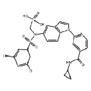 O=C(NC1CC1)c1ccnc(-n2ccc3cc(N(CP(=O)(O)O)S(=O)(=O)C4C=C(Cl)C=C(Cl)C4)ccc32)c1